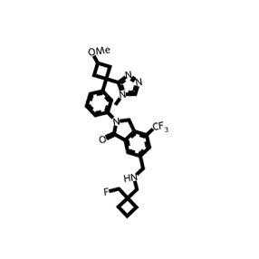 COC1CC(c2cccc(N3Cc4c(cc(CNCC5(CF)CCC5)cc4C(F)(F)F)C3=O)c2)(c2nncn2C)C1